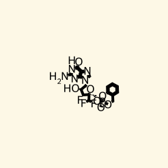 Nc1nc2c(ncn2[C@@H]2O[C@@](COP3(=O)OCc4ccccc4O3)(C(F)F)[C@H](F)[C@H]2O)c(=O)[nH]1